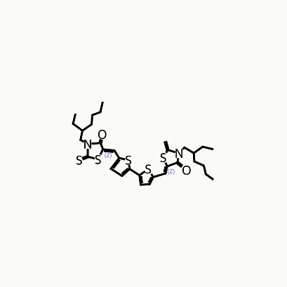 C=c1s/c(=C\c2ccc(-c3ccc(/C=C4\SC(=S)N(CC(CC)CCCC)C4=O)s3)s2)c(=O)n1CC(CC)CCCC